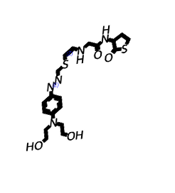 O=C(CN/C=C\SC/N=N/c1ccc(N(CCO)CCO)cc1)NC1CCSC1=O